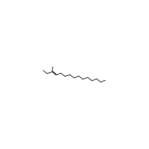 CCCCCCCCCCC/C=C(\C)CC